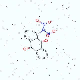 O=C1c2ccccc2C(=O)c2c1cccc2N([N+](=O)[O-])[N+](=O)[O-]